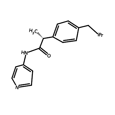 CC(C)Cc1ccc([C@@H](C)C(=O)Nc2ccncc2)cc1